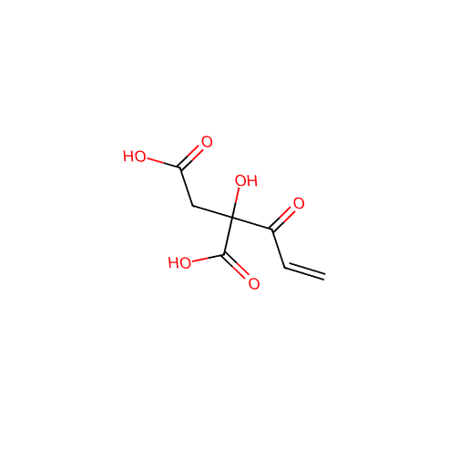 C=CC(=O)C(O)(CC(=O)O)C(=O)O